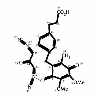 COC1=C(OC)C(=O)C(Cc2ccc(CCC(=O)O)cc2)=C(C)C1=O.[N-]=[N+]=CC(=O)C=[N+]=[N-]